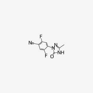 Cc1nn(-c2cc(F)c(C#N)cc2F)c(=O)[nH]1